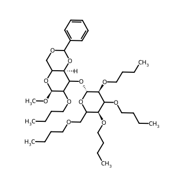 CCCCOCC1O[C@H](OC2C(OCCCC)[C@@H](OC)OC3COC(c4ccccc4)O[C@H]32)[C@@H](OCCCC)C(OCCCC)[C@H]1OCCCC